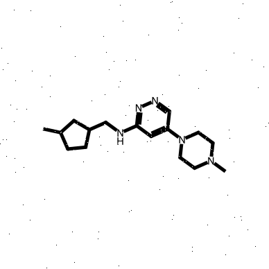 CC1CCC(CNc2cc(N3CCN(C)CC3)cnn2)C1